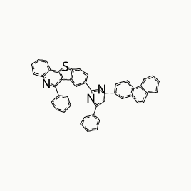 c1ccc(-c2cc(-c3ccc4c(ccc5ccccc54)c3)nc(-c3ccc4sc5c6ccccc6nc(-c6ccccc6)c5c4c3)n2)cc1